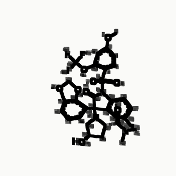 COc1ccc(S(=O)(=O)N2C(=O)C(c3cccc4c3OCO4)(N3C[C@H](O)C[C@H]3C(=O)N(C)C)c3cc(I)ccc32)c(OC(F)(F)F)c1